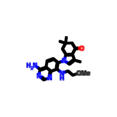 COCCNc1c(-n2cc(C)c3c2CC(C)(C)CC3=O)ccc2c(N)ncnc12